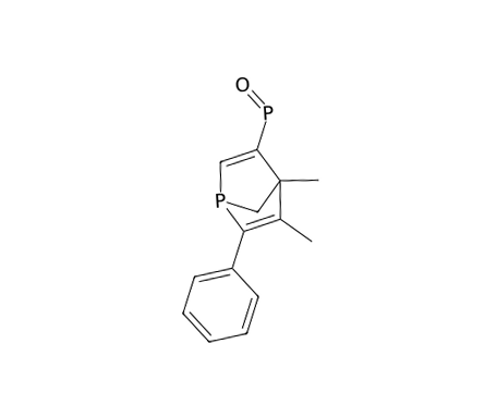 CC1=C(c2ccccc2)P2C=C(P=O)C1(C)C2